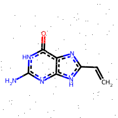 C=Cc1nc2c(=O)[nH]c(N)nc2[nH]1